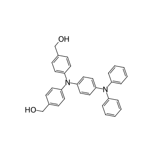 OCc1ccc(N(c2ccc(CO)cc2)c2ccc(N(c3ccccc3)c3ccccc3)cc2)cc1